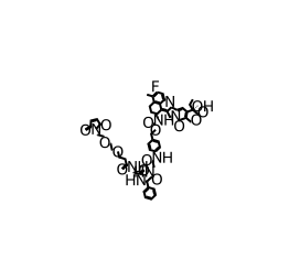 CC[C@@]1(O)C(=O)OCc2c1cc1n(c2=O)Cc2c-1nc1cc(F)c(C)c3c1c2[C@@H](NC(=O)OCc1ccc(NC(=O)CNC(=O)C(NC(=O)CNC(=O)CCOCCOCCN2C(=O)C=CC2=O)c2ccccc2)cc1)CC3